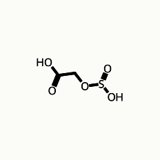 O=C(O)COS(=O)O